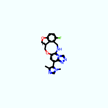 Cc1ncn(C)c1-c1cc2c(n3cnnc13)NCc1c(F)ccc3c1[C@@H](CO3)CO2